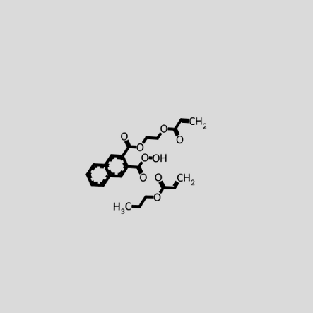 C=CC(=O)OCCC.C=CC(=O)OCCOC(=O)c1cc2ccccc2cc1C(=O)OO